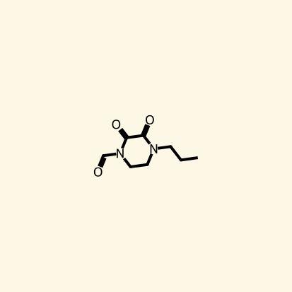 CCCN1CCN(C=O)C(=O)C1=O